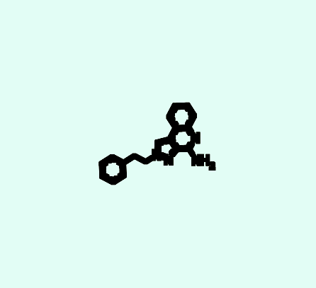 Nc1nc2ccccc2c2cn(CCc3ccccc3)nc12